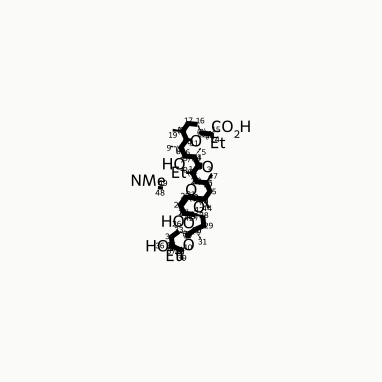 CC[C@@H](C(=O)[C@@H](C)[C@@H](O)[C@H](C)[C@@H]1O[C@@H]([C@@H](CC)C(=O)O)CC[C@@H]1C)[C@H]1O[C@]2(C=C[C@@H](O)[C@]3(CC[C@@](C)([C@H]4CC[C@](O)(CC)[C@H](C)O4)O3)O2)[C@H](C)C[C@@H]1C.CNC